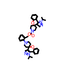 CC(C)n1ncc2c1-c1ccccc1OC21CCN(C(=O)OCc2ccccc2N2CCC3(CC2)Oc2ccccc2-c2c3cnn2C(C)C)CC1